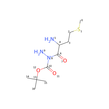 CSCCC(N)C(=O)N(N)C(=O)OC(C)(C)C